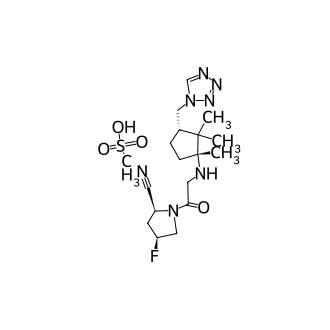 CC1(C)[C@@H](Cn2cnnn2)CC[C@@]1(C)NCC(=O)N1C[C@@H](F)C[C@H]1C#N.CS(=O)(=O)O